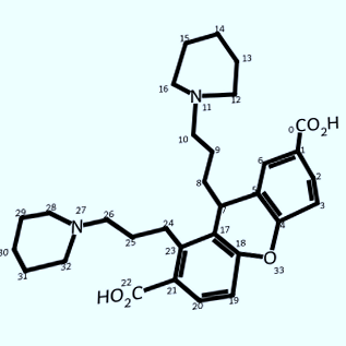 O=C(O)c1ccc2c(c1)C(CCCN1CCCCC1)c1c(ccc(C(=O)O)c1CCCN1CCCCC1)O2